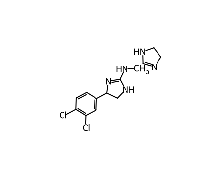 C1=NCCN1.CNC1=NC(c2ccc(Cl)c(Cl)c2)CN1